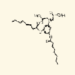 CCCCCCCC(=O)Oc1cc(OC(=O)CCCCCCC)cc(N(CC(=O)O)CC(=O)O)c1